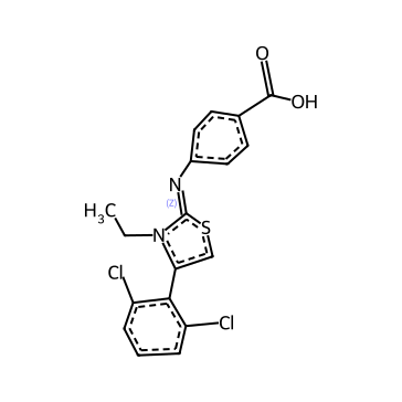 CCn1c(-c2c(Cl)cccc2Cl)cs/c1=N\c1ccc(C(=O)O)cc1